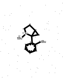 CC(C)(C)c1ccccc1C12CC1CCN2C(C)(C)C